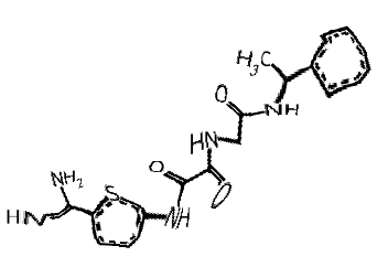 CC(NC(=O)CNC(=O)C(=O)Nc1ccc(C(=N)N)s1)c1ccccc1